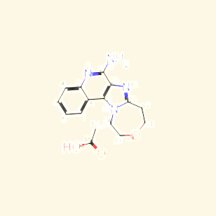 Nc1nc2ccccc2c2c1nc1n2[C@@H](CC(=O)O)COCC1